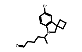 CC(CCCC=O)N1CC2(CCC2)c2cc(Br)ccc21